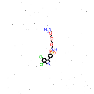 CN1Cc2c(Cl)cc(Cl)cc2C(c2ccc(S(=O)(=O)NCCOCCOCCOCN)cc2)C1